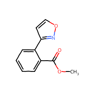 COC(=O)c1ccccc1-c1ccon1